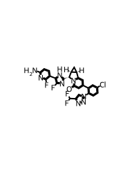 Nc1ccc(-c2[nH]c([C@@H]3[C@H]4C[C@H]4c4cc(-c5cc(Cl)ccc5-n5cc(C(F)F)nn5)cc(=O)n43)nc2F)c(F)n1